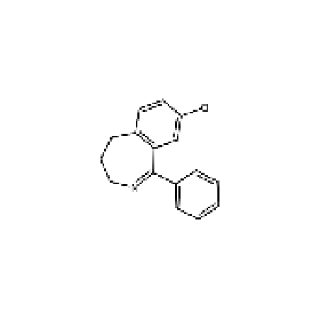 Clc1ccc2c(c1)C(c1ccccc1)=NCCC2